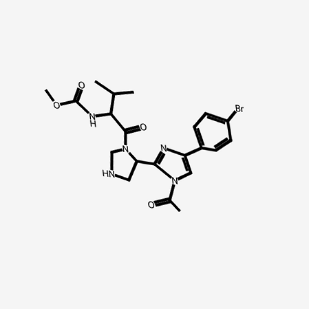 COC(=O)NC(C(=O)N1CNCC1c1nc(-c2ccc(Br)cc2)cn1C(C)=O)C(C)C